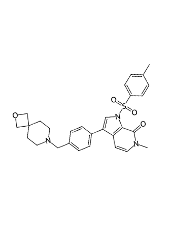 Cc1ccc(S(=O)(=O)n2cc(-c3ccc(CN4CCC5(CC4)COC5)cc3)c3ccn(C)c(=O)c32)cc1